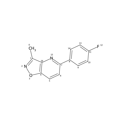 Cc1noc2ccc(-c3ccc(F)cc3)nc12